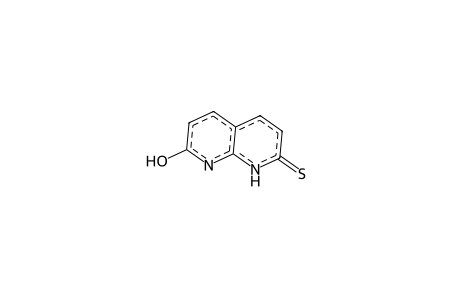 Oc1ccc2ccc(=S)[nH]c2n1